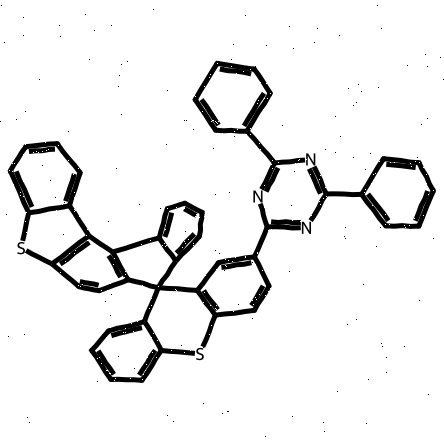 c1ccc(-c2nc(-c3ccccc3)nc(-c3ccc4c(c3)C3(c5ccccc5S4)c4ccccc4-c4c3ccc3sc5ccccc5c43)n2)cc1